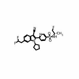 C[C@@H](CF)NS(=O)(=O)c1ccc(-c2c(C#N)c3ccc(CC(F)F)cc3n2C2CCCC2)nc1